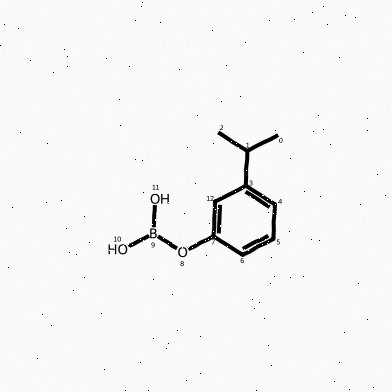 CC(C)c1cccc(OB(O)O)c1